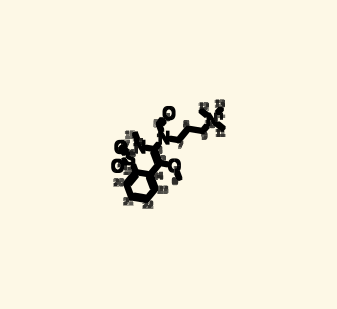 COC1=C(N(C=O)CCC[N+](C)(C)C)N(C)S(=O)(=O)c2ccccc21